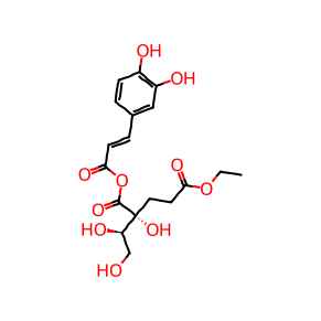 CCOC(=O)CC[C@](O)(C(=O)OC(=O)/C=C/c1ccc(O)c(O)c1)[C@H](O)CO